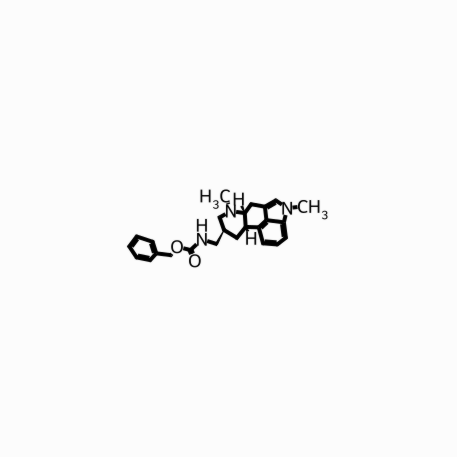 CN1C[C@H](CNC(=O)OCc2ccccc2)C[C@H]2c3cccc4c3c(cn4C)C[C@H]21